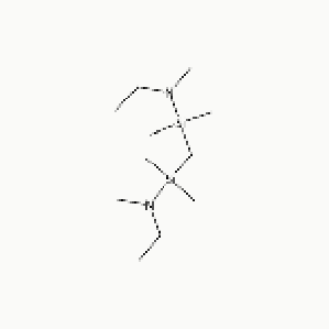 CCN(C)[Si](C)(C)C[Si](C)(C)N(C)CC